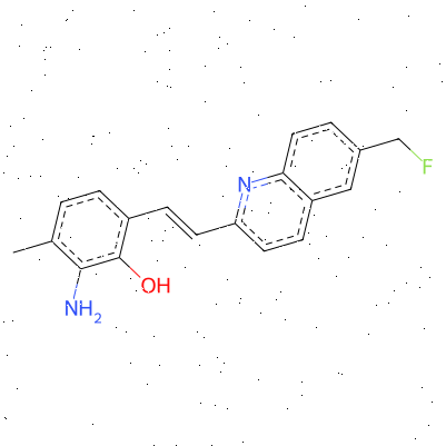 Cc1ccc(C=Cc2ccc3cc(CF)ccc3n2)c(O)c1N